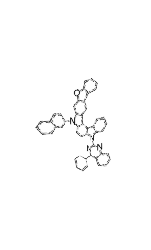 C1=CCC(c2nc(-n3c4ccccc4c4c5c6cc7c(cc6n(-c6ccc8ccccc8c6)c5ccc43)oc3ccccc37)nc3ccccc23)C=C1